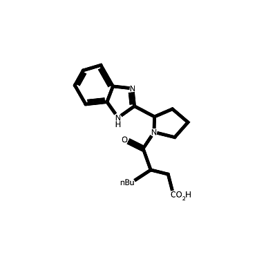 CCCCC(CC(=O)O)C(=O)N1CCCC1c1nc2ccccc2[nH]1